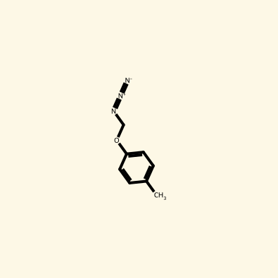 Cc1ccc(OCN=[N+]=[N-])cc1